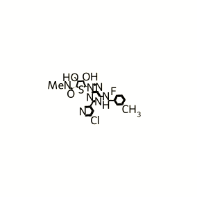 CNC(=O)[C@H]1S[C@@H](n2cnc3c(NCc4cc(C)ccc4F)nc(-c4cncc(Cl)c4)nc32)[C@H](O)[C@@H]1O